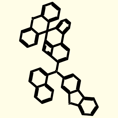 c1ccc2c(c1)Sc1ccccc1C21c2ccccc2-c2ccc(N(c3ccc4c(c3)sc3ccccc34)c3cccc4ccccc34)c3cccc1c23